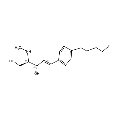 CN[C@H](CO)[C@@H](O)/C=C/c1ccc(CCCCF)cc1